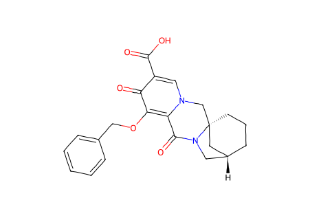 O=C(O)c1cn2c(c(OCc3ccccc3)c1=O)C(=O)N1C[C@H]3CCC[C@@]1(C3)C2